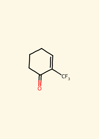 O=C1CCCC=C1C(F)(F)F